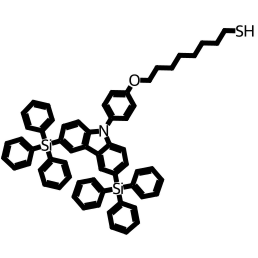 SCCCCCCCCOc1ccc(-n2c3ccc([Si](c4ccccc4)(c4ccccc4)c4ccccc4)cc3c3cc([Si](c4ccccc4)(c4ccccc4)c4ccccc4)ccc32)cc1